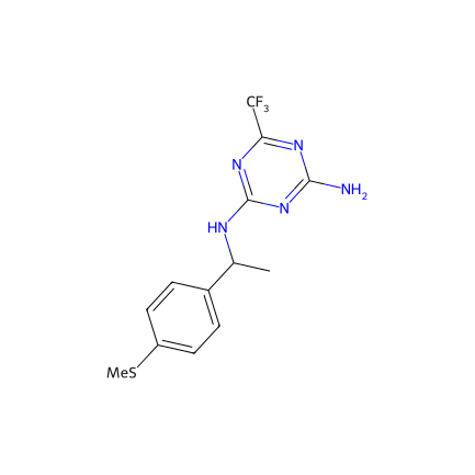 CSc1ccc(C(C)Nc2nc(N)nc(C(F)(F)F)n2)cc1